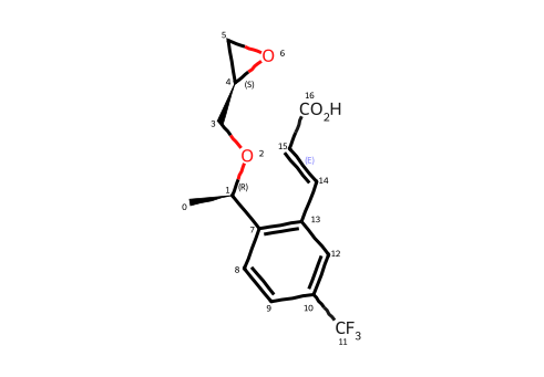 C[C@@H](OC[C@H]1CO1)c1ccc(C(F)(F)F)cc1/C=C/C(=O)O